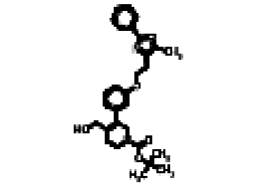 Cc1oc(-c2ccccc2)nc1CCOc1cccc(C2=C(CO)CCN(C(=O)OC(C)(C)C)C2)c1